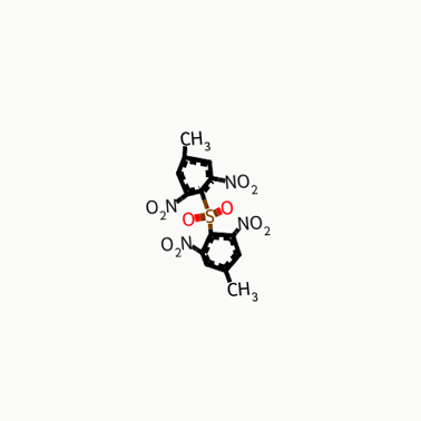 Cc1cc([N+](=O)[O-])c(S(=O)(=O)c2c([N+](=O)[O-])cc(C)cc2[N+](=O)[O-])c([N+](=O)[O-])c1